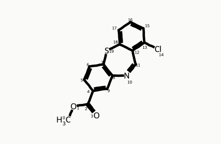 COC(=O)c1ccc2c(c1)N=Cc1c(Cl)cccc1S2